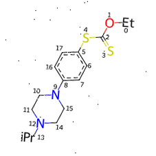 CCOC(=S)Sc1ccc(N2CCN(C(C)C)CC2)cc1